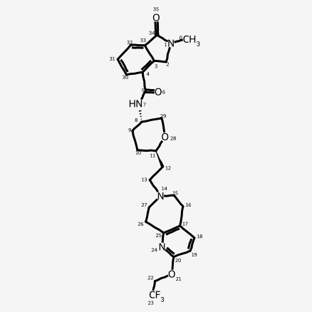 CN1Cc2c(C(=O)N[C@H]3CC[C@H](CCN4CCc5ccc(OCC(F)(F)F)nc5CC4)OC3)cccc2C1=O